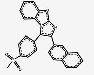 CS(=O)(=O)c1ccc(-c2c(-c3ccc4ccccc4c3)nc3oc4ccccc4n23)cc1